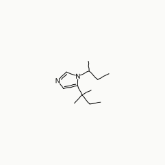 CCC(C)n1cncc1C(C)(C)CC